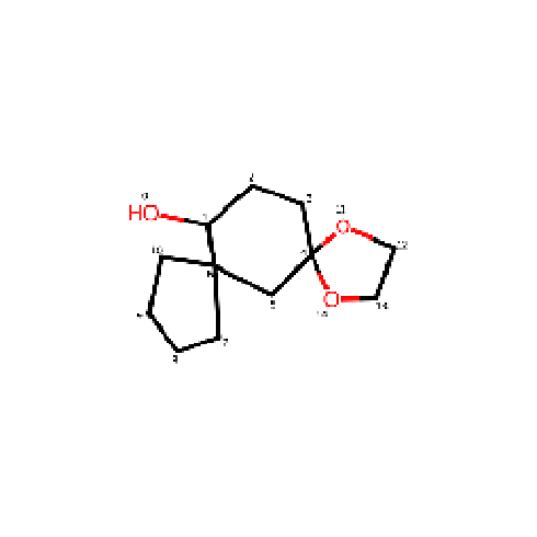 OC1CCC2(CC13CCCC3)OCCO2